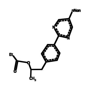 CCCCCCCCCc1cnc(-c2ccc(CC(C)OC(=O)CC)cc2)nc1